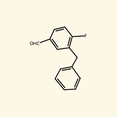 O=Cc1ccc(F)c(Cc2ccccc2)c1